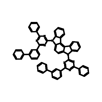 c1ccc(-c2cccc(-c3nc(-c4ccccc4)nc(-n4c5ccccc5c5c6c7ccccc7n(-c7nc(-c8ccccc8)nc(-c8cccc(-c9ccccc9)c8)n7)c6ccc54)n3)c2)cc1